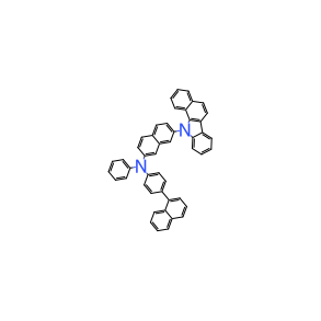 c1ccc(N(c2ccc(-c3cccc4ccccc34)cc2)c2ccc3ccc(-n4c5ccccc5c5ccc6ccccc6c54)cc3c2)cc1